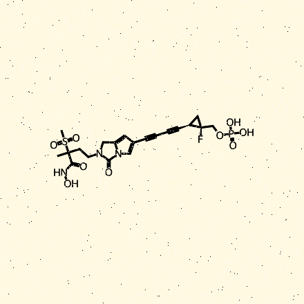 CC(CCN1Cc2cc(C#CC#C[C@H]3C[C@]3(F)COP(=O)(O)O)cn2C1=O)(C(=O)NO)S(C)(=O)=O